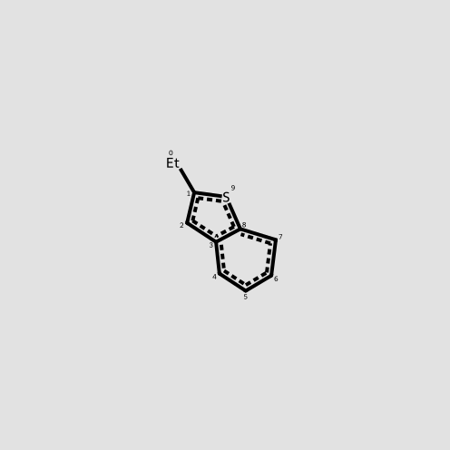 [CH2]Cc1cc2ccccc2s1